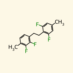 Cc1cc(F)c(CCc2ccc(C)c(F)c2F)c(F)c1